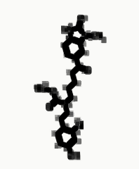 Cn1c(=O)[nH]c2ccc(C(=O)CCCCN(CCc3ccc(O)cc3Cl)C(=O)OC(C)(C)C)cc21